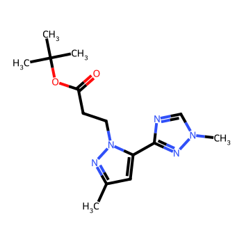 Cc1cc(-c2ncn(C)n2)n(CCC(=O)OC(C)(C)C)n1